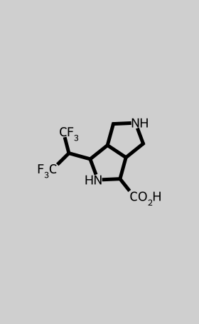 O=C(O)C1NC(C(C(F)(F)F)C(F)(F)F)C2CNCC12